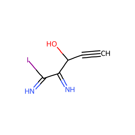 C#CC(O)C(=N)C(=N)I